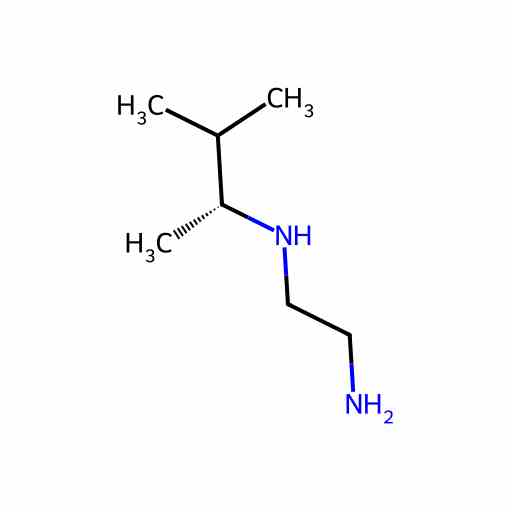 CC(C)[C@@H](C)NCCN